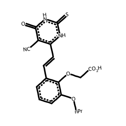 CCCOc1cccc(/C=C/c2[nH]c(=S)[nH]c(=O)c2C#N)c1OCC(=O)O